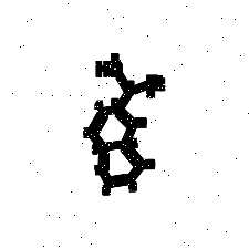 CCC(O)c1ccc2ccccc2c1